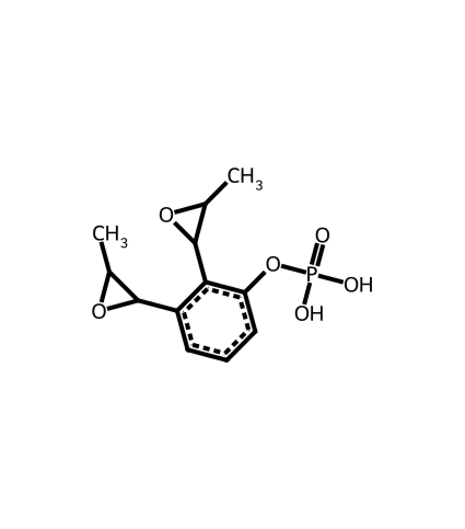 CC1OC1c1cccc(OP(=O)(O)O)c1C1OC1C